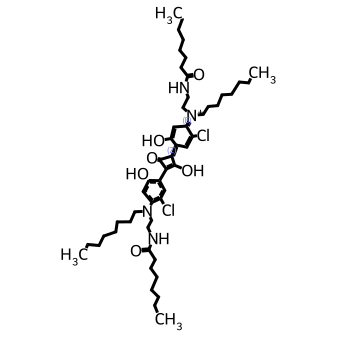 CCCCCCCCN(CCNC(=O)CCCCCCC)c1cc(O)c(C2=C(O)/C(=C3C=C(Cl)/C(=[N+](\CCCCCCCC)CCNC(=O)CCCCCCC)C=C\3O)C2=O)cc1Cl